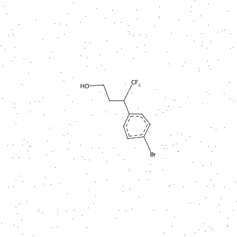 OCCC(c1ccc(Br)cc1)C(F)(F)F